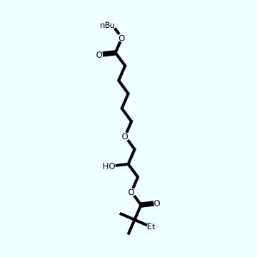 CCCCOC(=O)CCCCCOCC(O)COC(=O)C(C)(C)CC